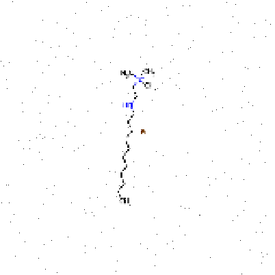 CCCCCCCCCCCNCC[N+](C)(C)C.[Br-]